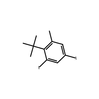 Cc1cc(I)cc(I)c1C(C)(C)C